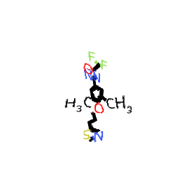 Cc1cc(-c2noc(C(F)F)n2)cc(C)c1OCCCc1cncs1